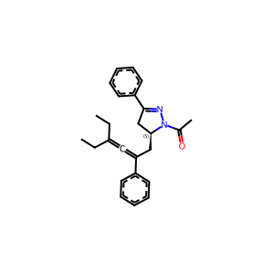 CCC(=C=C(C[C@H]1CC(c2ccccc2)=NN1C(C)=O)c1ccccc1)CC